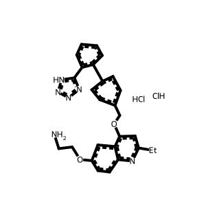 CCc1cc(OCc2ccc(-c3ccccc3-c3nnn[nH]3)cc2)c2cc(OCCN)ccc2n1.Cl.Cl